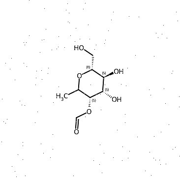 CC1O[C@H](CO)[C@@H](O)[C@H](O)[C@@H]1OC=O